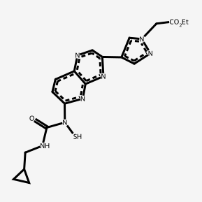 CCOC(=O)Cn1cc(-c2cnc3ccc(N(S)C(=O)NCC4CC4)nc3n2)cn1